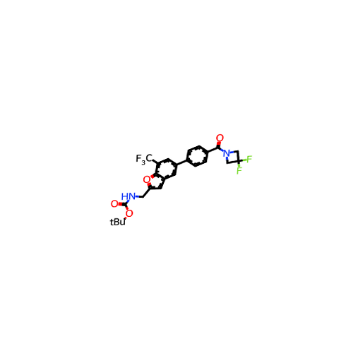 CC(C)(C)OC(=O)NCc1cc2cc(-c3ccc(C(=O)N4CC(F)(F)C4)cc3)cc(C(F)(F)F)c2o1